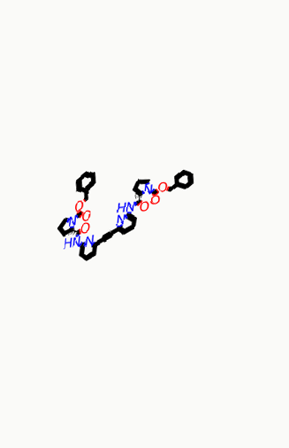 O=C(Nc1cccc(C#Cc2cccc(NC(=O)[C@@H]3CCCN3C(=O)OCc3ccccc3)n2)n1)[C@@H]1CCCN1C(=O)OCc1ccccc1